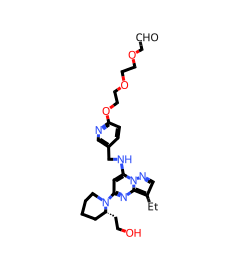 CCc1cnn2c(NCc3ccc(OCCOCCOCC=O)nc3)cc(N3CCCC[C@H]3CCO)nc12